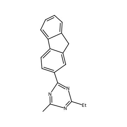 CCc1nc(C)nc(-c2ccc3c(c2)Cc2ccccc2-3)n1